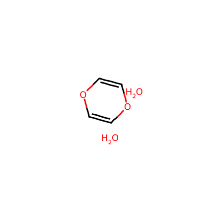 C1=COC=CO1.O.O